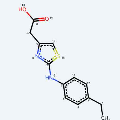 CCc1ccc(Nc2nc(CC(=O)O)cs2)cc1